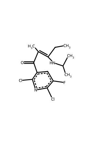 CCC(NC(C)C)=C(C)C(=O)c1cc(F)c(Cl)nc1Cl